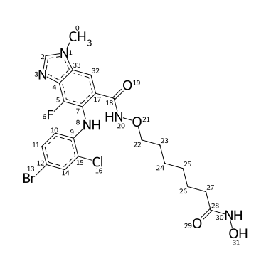 Cn1cnc2c(F)c(Nc3ccc(Br)cc3Cl)c(C(=O)NOCCCCCCC(=O)NO)cc21